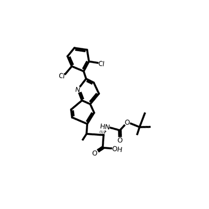 CC(c1ccc2nc(-c3c(Cl)cccc3Cl)ccc2c1)[C@H](NC(=O)OC(C)(C)C)C(=O)O